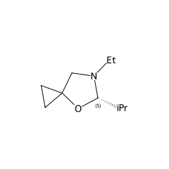 CCN1CC2(CC2)O[C@H]1C(C)C